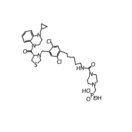 O=C(NCCCCCc1cc(Cl)c(CN2CSC[C@H]2C(=O)N2CCN(C3CC3)c3ccccc32)cc1Cl)N1CCN(CP(=O)(O)O)CC1